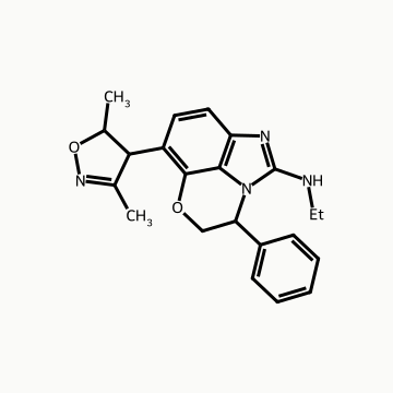 CCNc1nc2ccc(C3C(C)=NOC3C)c3c2n1C(c1ccccc1)CO3